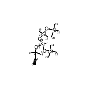 C#CC(C)(C)O[Si](C)(O[Si](C)(C)C)O[Si](C)(C)O[Si](C)(C)C